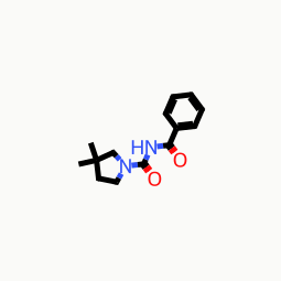 CC1(C)CCN(C(=O)NC(=O)c2ccccc2)C1